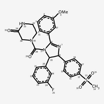 COc1cccc(C2=NC(c3ccc(S(C)(=O)=O)cc3)C(c3cccc(F)c3)N2C(=O)N2CCNC(=O)C2)c1